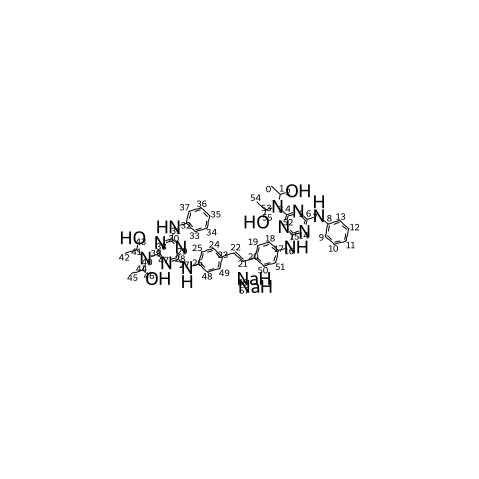 CC(O)N(c1nc(Nc2ccccc2)nc(Nc2ccc(C=Cc3ccc(Nc4nc(Nc5ccccc5)nc(N(C(C)O)C(C)O)n4)cc3)cc2)n1)C(C)O.[NaH].[NaH]